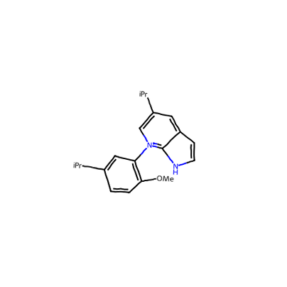 COc1ccc(C(C)C)cc1-[n+]1cc(C(C)C)cc2cc[nH]c21